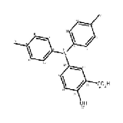 Cc1ccc(N(c2ccc(C)cc2)c2ccc(O)c(C(=O)O)c2)cc1